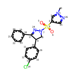 Cn1cc(S(=O)(=O)N2CC(c3ccc(Cl)cc3)C(c3ccccc3)=N2)cn1